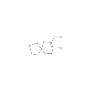 O=CC1=C(Cl)CCC2(CCCC2)C1